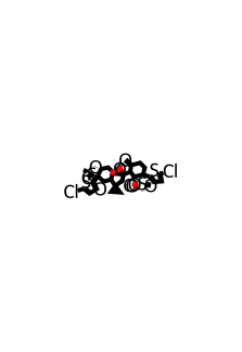 CS(=O)(=O)C1(c2ccc(Cl)s2)CCC(=O)C(C2(C(=O)C3(C4C(=O)CCC(c5ccc(Cl)s5)(S(C)(=O)=O)C4=O)CC3)CC2)C1=O